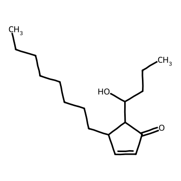 CCCCCCCCC1C=CC(=O)C1C(O)CCC